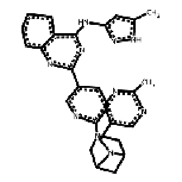 Cc1ncc(CN2C3CC2CN(c2ccc(-c4nc(Nc5cc(C)[nH]n5)c5ccccc5n4)cn2)C3)cn1